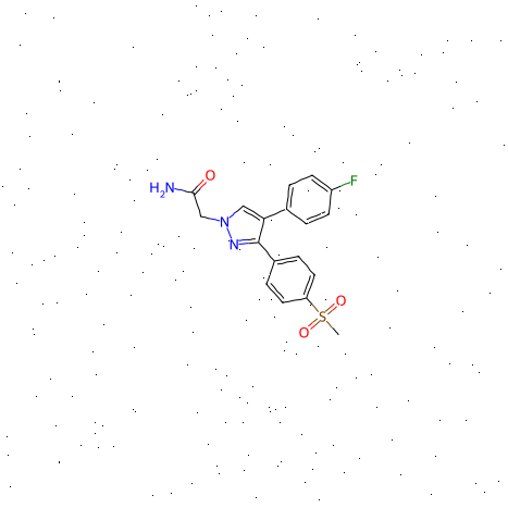 CS(=O)(=O)c1ccc(-c2nn(CC(N)=O)cc2-c2ccc(F)cc2)cc1